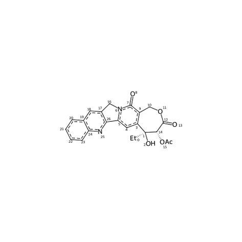 CC[C@]1(O)c2cc3n(c(=O)c2COC(=O)[C@@H]1OC(C)=O)Cc1cc2ccccc2nc1-3